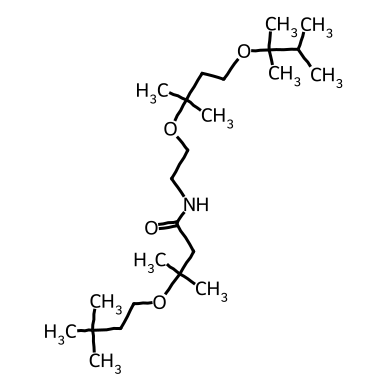 CC(C)C(C)(C)OCCC(C)(C)OCCNC(=O)CC(C)(C)OCCC(C)(C)C